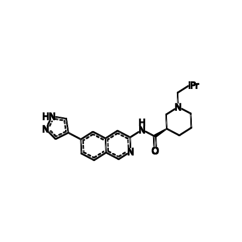 CC(C)CN1CCC[C@@H](C(=O)Nc2cc3cc(-c4cn[nH]c4)ccc3cn2)C1